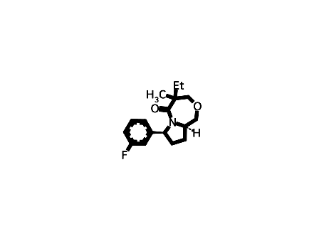 CCC1(C)COC[C@H]2CC[C@@H](c3cccc(F)c3)N2C1=O